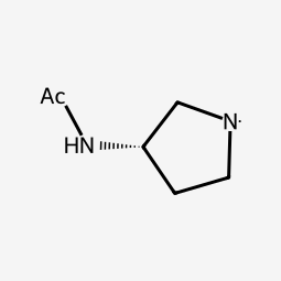 CC(=O)N[C@H]1CC[N]C1